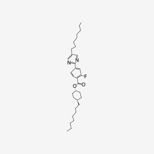 CCCCCCCCc1cnc(-c2ccc(C(=O)O[C@H]3CC[C@H](CCCCCCCC)CC3)c(F)c2)nc1